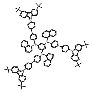 CC(C)(C)c1ccc2c(c1)c1cc(C(C)(C)C)ccc1n2-c1ccc(-c2ccc(N(c3cc(N(c4ccc(-c5ccc(-n6c7ccc(C(C)(C)C)cc7c7cc(C(C)(C)C)ccc76)cc5)cc4)c4cccc5ccccc45)cc(N(c4ccc(-c5ccc(-n6c7ccc(C(C)(C)C)cc7c7cc(C(C)(C)C)ccc76)cc5)cc4)c4cccc5ccccc45)c3)c3cccc4ccccc34)cc2)cc1